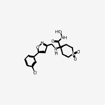 O=C(NO)C1(NCc2cc(-c3cccc(Cl)c3)on2)CCS(=O)(=O)CC1